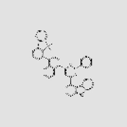 CC1(C)c2ccccc2-c2cccc(-c3ccc(-c4cc(-c5cccc6oc7ccccc7c56)nc(-c5ccccc5)n4)c4ccccc34)c21